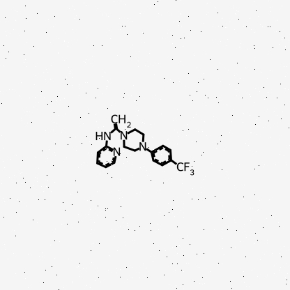 C=C(Nc1ccccn1)N1CCN(c2ccc(C(F)(F)F)cc2)CC1